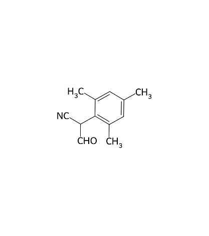 Cc1cc(C)c(C(C#N)C=O)c(C)c1